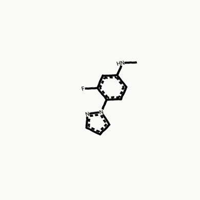 CNc1ccc(-n2cccn2)c(F)c1